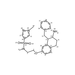 CN(CCOc1ccc2c(c1)C(Cc1ccccc1)C(N)CC2)S(=O)(=O)c1cnn(C)c1